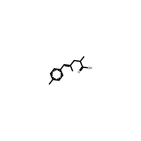 C/C(=C\c1ccc(C)cc1)CC(C)C(=O)O